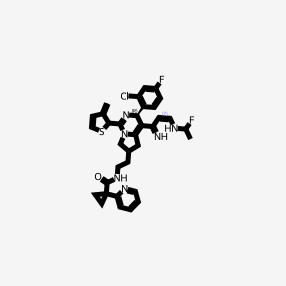 C=C1C=CSC1C1=N[C@@H](c2ccc(F)cc2Cl)C(C(=N)/C=C\NC(C)F)=C2CC(CCNC(=O)C3(c4ccccn4)CC3)CN12